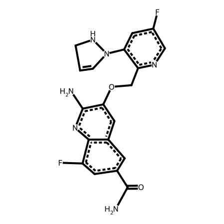 NC(=O)c1cc(F)c2nc(N)c(OCc3ncc(F)cc3N3C=CCN3)cc2c1